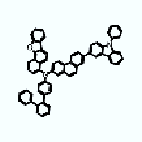 c1ccc(-c2ccccc2-c2ccc(N(c3ccc4c(ccc5cc(-c6ccc7c(c6)c6ccccc6n7-c6ccccc6)ccc54)c3)c3cccc4c3ccc3c5ccccc5oc43)cc2)cc1